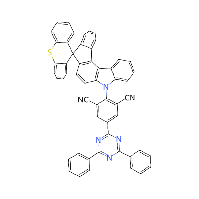 N#Cc1cc(-c2nc(-c3ccccc3)nc(-c3ccccc3)n2)cc(C#N)c1-n1c2ccccc2c2c3c(ccc21)C1(c2ccccc2Sc2ccccc21)c1ccccc1-3